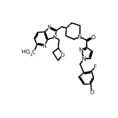 O=C(O)c1ccc2nc(CC3CCN(C(=O)c4ccn(Cc5ccc(Cl)cc5F)n4)CC3)n(CC3CCO3)c2n1